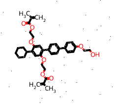 C=C(C)C(=O)OCCOc1cc(C2CCCCC2)c(OCCOC(=O)C(=C)C)cc1-c1ccc(-c2ccc(OCCO)cc2)cc1